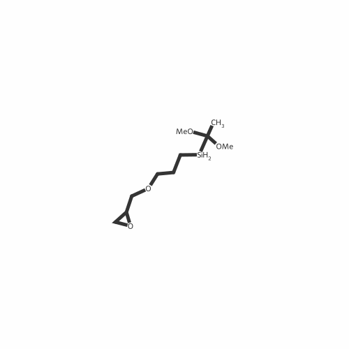 COC(C)(OC)[SiH2]CCCOCC1CO1